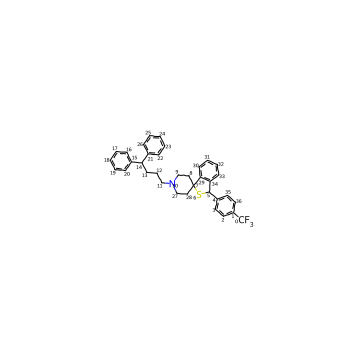 FC(F)(F)c1ccc(C2SC3(CCN(CCCC(c4ccccc4)c4ccccc4)CC3)c3ccccc32)cc1